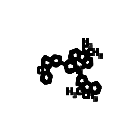 CC1(C)c2ccccc2-c2cc(N(c3ccc(-c4ccc5ccc6oc7ccccc7c6c5c4)cc3)c3cccc4c3-c3ccccc3C4(C)C)ccc21